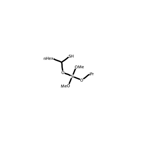 CCCCCCC(S)O[Si](OC)(OC)OC(C)C